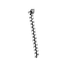 C[Si](C)(Cl)CCCCCCCCCCCCCCCCCCCCCCCCCCI